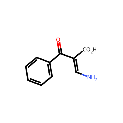 NC=C(C(=O)O)C(=O)c1ccccc1